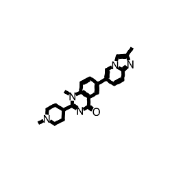 Cc1cn2cc(-c3ccc4c(c3)c(=O)nc(C3CCN(C)CC3)n4C)ccc2n1